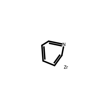 [Zr].c1ccncc1